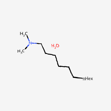 CCCCCCCCCCCCN(C)C.O